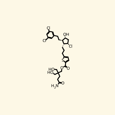 NC(=O)CCC(CO)(CO)COC(=O)c1ccc(CCC[C@@H]2[C@@H](CCc3cc(Cl)cc(Cl)c3)[C@H](O)C[C@H]2Cl)s1